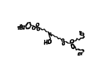 CC/C=C\CCCCOC(CCC(=O)OCCCCCCN(CCO)CCCCCOC(=O)OCc1ccc(CCCC)cc1)OCCCC/C=C\CC